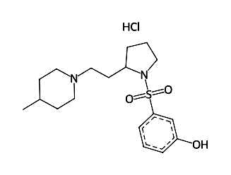 CC1CCN(CCC2CCCN2S(=O)(=O)c2cccc(O)c2)CC1.Cl